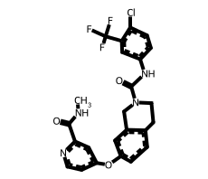 CNC(=O)c1cc(Oc2ccc3c(c2)CN(C(=O)Nc2ccc(Cl)c(C(F)(F)F)c2)CC3)ccn1